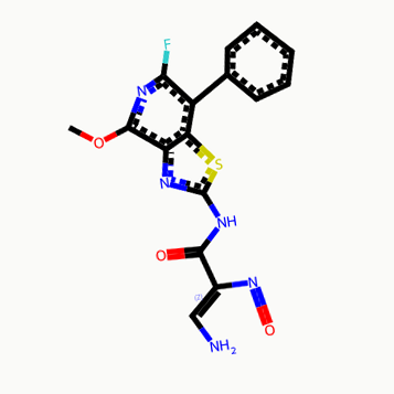 COc1nc(F)c(-c2ccccc2)c2sc(NC(=O)/C(=C/N)N=O)nc12